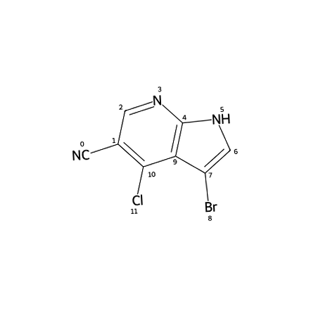 N#Cc1cnc2[nH]cc(Br)c2c1Cl